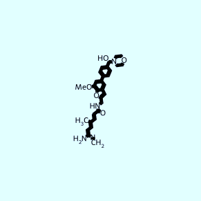 C=N\C(N)=C/C=C(C)/C=C/C(=O)NCc1cc2cc(-c3ccc(C(O)N4CCOCC4)cc3)cc(OC)c2o1